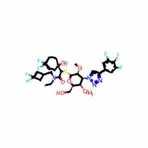 CCN(CC1CC(F)(F)C1)C(=O)C(S[C@@H]1O[C@H](CO)[C@H](O)[C@H](n2cc(-c3cc(F)c(F)c(F)c3)nn2)[C@H]1OC)C1(O)CCC(F)(F)CC1